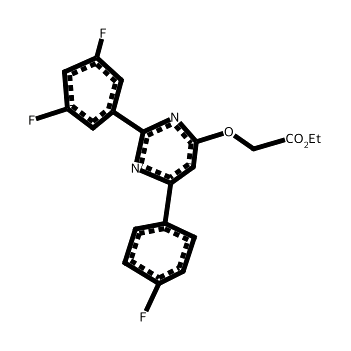 CCOC(=O)COc1cc(-c2ccc(F)cc2)nc(-c2cc(F)cc(F)c2)n1